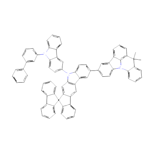 CC1(C)c2ccccc2-n2c3ccc(-c4ccc5c(c4)c4cc6c(cc4n5-c4ccc5c(c4)c4ccccc4n5-c4cccc(-c5ccccc5)c4)C4(c5ccccc5-c5ccccc54)c4ccccc4-6)cc3c3cccc1c32